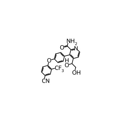 N#Cc1ccc(Oc2ccc(-c3c(C(O)CO)ccnc3C(N)=O)cc2)c(C(F)(F)F)c1